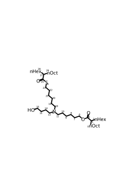 CCCCCCCCC(CCCCCC)C(=O)OCCCCCCN(CCCCO)CCCCCCSC(=O)C(CCCCCC)CCCCCCCC